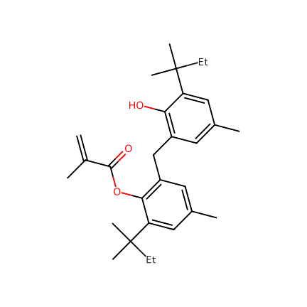 C=C(C)C(=O)Oc1c(Cc2cc(C)cc(C(C)(C)CC)c2O)cc(C)cc1C(C)(C)CC